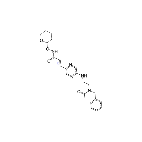 CC(=O)N(CCNc1cnc(/C=C/C(=O)NOC2CCCCO2)cn1)Cc1ccccc1